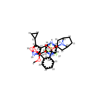 COC(=O)c1cnc(N2C3CCC2CC(OCc2c(-c4ccccc4C(F)(F)F)noc2C2CC2)C3)cn1